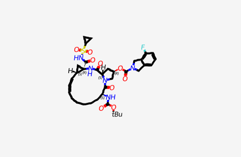 CC(C)(C)OC(=O)N[C@H]1CCCCCC=C=C[C@@H]2C[C@@]2(C(=O)NS(=O)(=O)C2CC2)NC(=O)[C@@H]2C[C@@H](OC(=O)N3Cc4cccc(F)c4C3)CN2C1=O